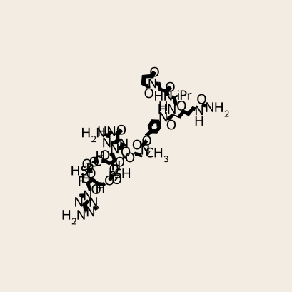 CC(C)[C@H](NC(=O)CCN1C(=O)C=CC1=O)C(=O)N[C@@H](CCCCNC(N)=O)C(=O)Nc1ccc(COC(=O)N(C)CCOC(=O)O[C@@H]2[C@@H]3O[P@](=O)(S)OC[C@H]4O[C@@H](n5cnc6c(N)ncnc65)[C@H](F)[C@@H]4O[P@@](=O)(S)OC[C@H]3O[C@H]2n2cnc3c(=O)[nH]c(N)nc32)cc1